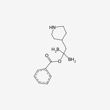 BC(B)(CC1CCNCC1)OC(=O)c1ccccc1